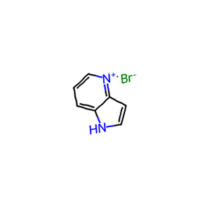 C1=C[N+]=c2cc[nH]c2=C1.[Br-]